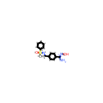 CS(=O)(=NCc1ccc(/C(N)=N/O)cc1)c1ccccc1